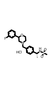 C[C@@H](NS(C)(=O)=O)c1ccc(CN2CCOC(c3cccc(F)c3)C2)cc1.Cl